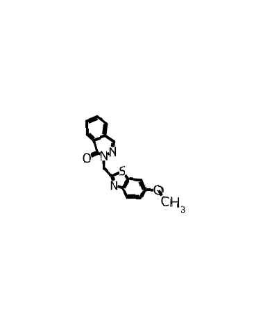 COc1ccc2nc(Cn3ncc4ccccc4c3=O)sc2c1